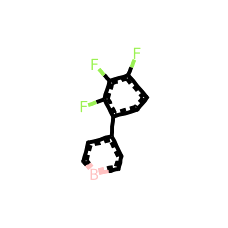 Fc1ccc(-c2ccbcc2)c(F)c1F